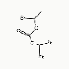 CCC(CC)OC(=O)OC(C)Br